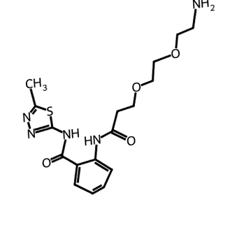 Cc1nnc(NC(=O)c2ccccc2NC(=O)CCOCCOCCN)s1